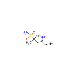 CC(C)CC(=N)CC(C)(C)S(N)(=O)=O